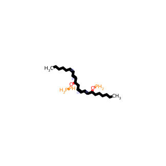 CCCCC/C=C\C=C\C(C/C=C\C=C\C(CCCCCC)OP)OPP